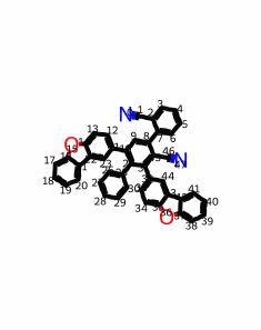 N#Cc1ccccc1-c1cc(-c2ccc3oc4ccccc4c3c2)c(-c2ccccc2)c(-c2ccc3oc4ccccc4c3c2)c1C#N